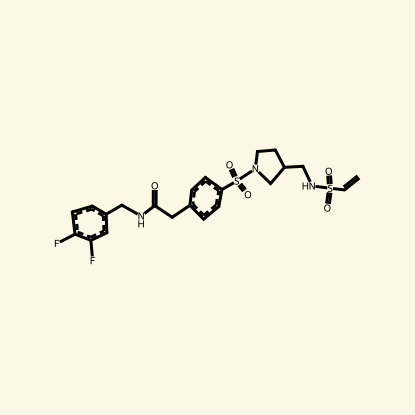 C=CS(=O)(=O)NCC1CCN(S(=O)(=O)c2ccc(CC(=O)NCc3ccc(F)c(F)c3)cc2)C1